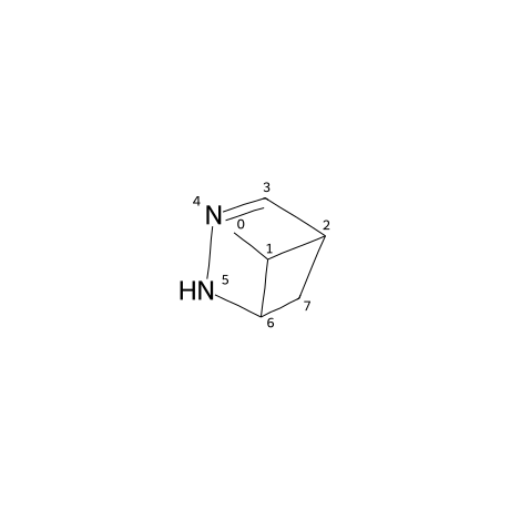 CC1C2C=NNC1C2